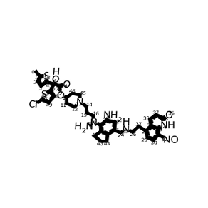 Cc1ccc(C(O)(C(=O)OC2CCN(CCCN(N)c3c(N)cc(CNCCc4ccc(N=O)c5[nH]c(=O)ccc45)c4c3CCC4)CC2)c2ccc(Cl)s2)s1